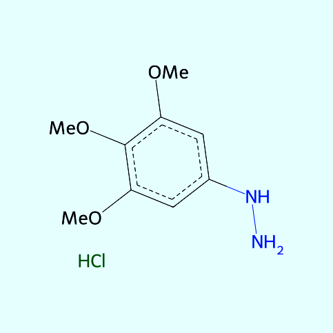 COc1cc(NN)cc(OC)c1OC.Cl